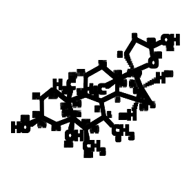 CC1C2C3[C@@H]4C[C@@H]4[C@@]4(CCC(O)O4)[C@@]3(C)CCC2[C@@]2(C)CC[C@H](O)C[C@@]2(O)[C@@H]1C